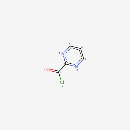 O=C(Cl)c1ncccn1